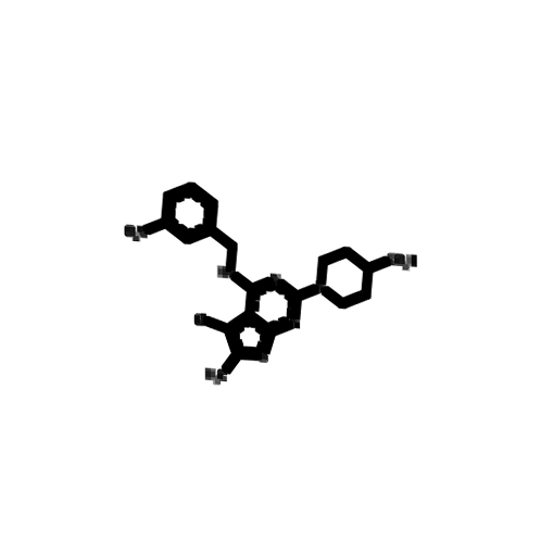 Cc1sc2nc(N3CCC(C(=O)O)CC3)nc(NCc3cccc([N+](=O)[O-])c3)c2c1Cl